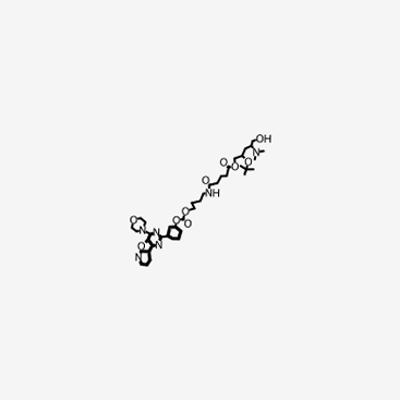 CN(C)C(CO)CC(COC(=O)CCCC(=O)NCCCCOC(=O)Oc1cccc(-c2nc(N3CCOCC3)c3oc4ncccc4c3n2)c1)OC(C)(C)C